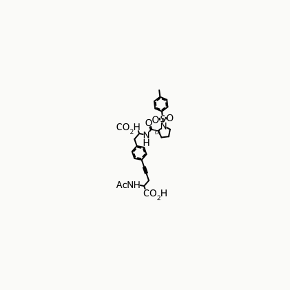 CC(=O)NC(CC#Cc1ccc(CC(NC(=O)[C@@H]2CCCN2S(=O)(=O)c2ccc(C)cc2)C(=O)O)cc1)C(=O)O